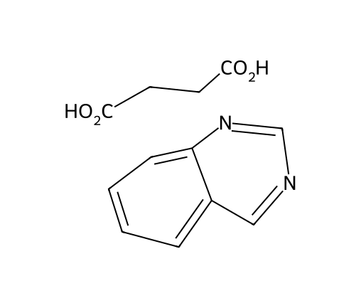 O=C(O)CCC(=O)O.c1ccc2ncncc2c1